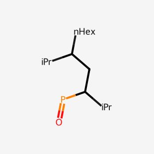 CCCCCCC(CC(P=O)C(C)C)C(C)C